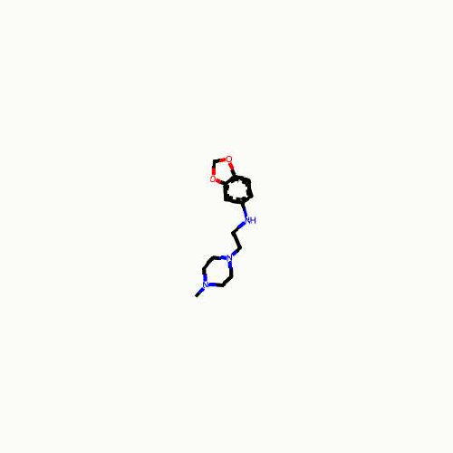 CN1CCN(CCNc2ccc3c(c2)OCO3)CC1